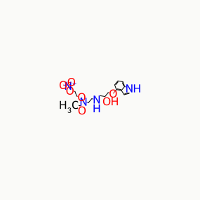 CC(=O)N(CCNCC(O)COc1cccc2[nH]ccc12)OCCO[N+](=O)[O-]